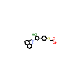 C[C@@H](N[C@H]1CC[C@@H](c2ccc(SCC(=O)O)cc2)C1)c1cccc2ccccc12.Cl